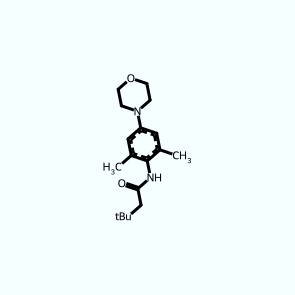 Cc1cc(N2CCOCC2)cc(C)c1NC(=O)CC(C)(C)C